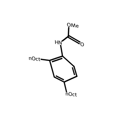 [CH2]OC(=O)Nc1ccc(CCCCCCCC)cc1CCCCCCCC